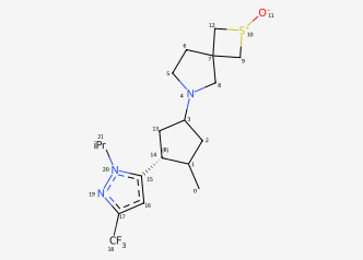 CC1CC(N2CCC3(C2)C[S+]([O-])C3)C[C@H]1c1cc(C(F)(F)F)nn1C(C)C